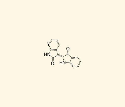 O=C1N[C]2=C(C=C[CH]=[Y]2)/C1=C1/Nc2ccccc2C1=O